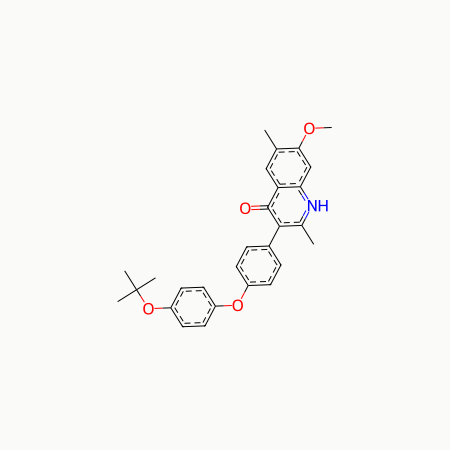 COc1cc2[nH]c(C)c(-c3ccc(Oc4ccc(OC(C)(C)C)cc4)cc3)c(=O)c2cc1C